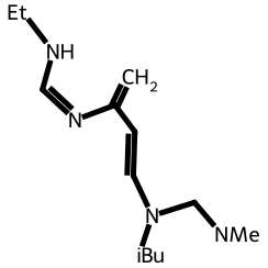 C=C(/C=C/N(CNC)C(C)CC)/N=C\NCC